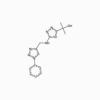 CC(C)(O)c1nnc(NCc2cn(-c3ccccc3)nn2)o1